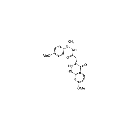 COc1ccc([C@H](C)NC(=O)CN2NNc3cc(OC)ccc3C2=O)cc1